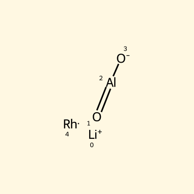 [Li+].[O]=[Al][O-].[Rh]